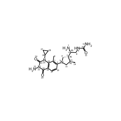 Cc1c(N2C[C@H]([C@@H](N)CNC(N)=O)[C@@H](C)C2)ccc2c(=O)n(N)c(=O)n(C3CC3)c12